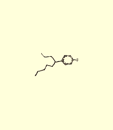 CCCCCC(CCC)c1ccc(F)cc1